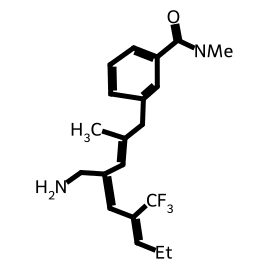 CC/C=C(/C=C(\C=C(/C)Cc1cccc(C(=O)NC)c1)CN)C(F)(F)F